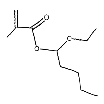 C=C(C)C(=O)OC(CCCC)OCC